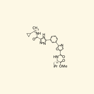 COC(=O)[C@H](CC(C)C)NC(=O)c1cnc(-c2cccc(-c3nnc(C(=O)N[C@@H](C)C4CC4)[nH]3)c2)o1